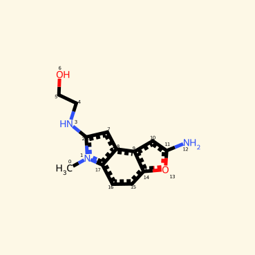 Cn1c(NCCO)cc2c3cc(N)oc3ccc21